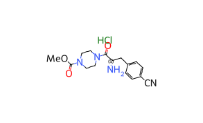 COC(=O)N1CCN(C(=O)[C@@H](N)Cc2ccc(C#N)cc2)CC1.Cl